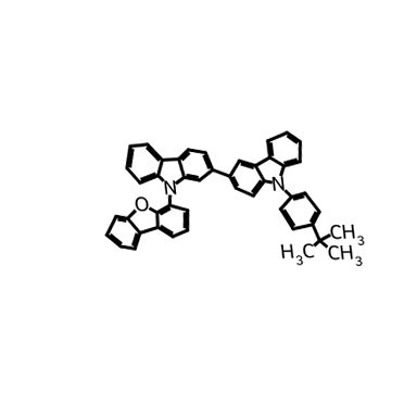 CC(C)(C)c1ccc(-n2c3ccccc3c3cc(-c4ccc5c6ccccc6n(-c6cccc7c6oc6ccccc67)c5c4)ccc32)cc1